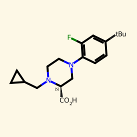 CC(C)(C)c1ccc(N2CCN(CC3CC3)[C@H](C(=O)O)C2)c(F)c1